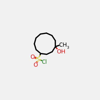 CC1(O)CCCCCCCC(S(=O)(=O)Cl)CC1